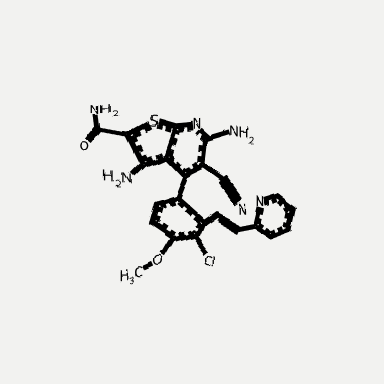 COc1ccc(-c2c(C#N)c(N)nc3sc(C(N)=O)c(N)c23)c(/C=C/c2ccccn2)c1Cl